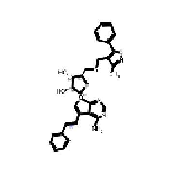 Cc1noc(-c2ccccc2)c1CSC[C@H]1O[C@@H](n2cc(/C=C/c3ccccc3)c3c(N)ncnc32)[C@H](O)[C@@H]1O